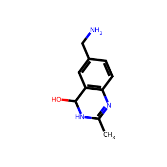 CC1=Nc2ccc(CN)cc2C(O)N1